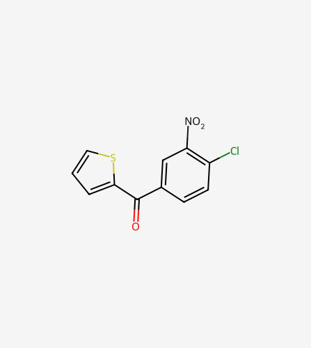 O=C(c1ccc(Cl)c([N+](=O)[O-])c1)c1cccs1